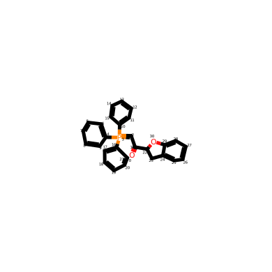 O=C(C=P(c1ccccc1)(c1ccccc1)c1ccccc1)C1Cc2ccccc2O1